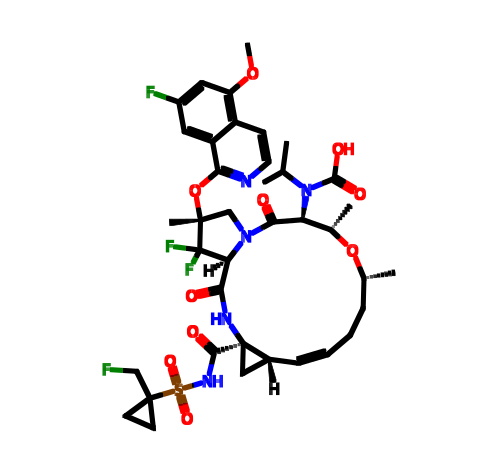 COc1cc(F)cc2c(O[C@]3(C)CN4C(=O)[C@@H](N(C(=O)O)C(C)C)[C@H](C)O[C@H](C)CC/C=C\[C@@H]5C[C@@]5(C(=O)NS(=O)(=O)C5(CF)CC5)NC(=O)[C@H]4C3(F)F)nccc12